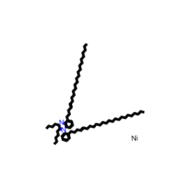 CCCCCCCCCCCCCCCCCCCC=CCCCc1ccccc1N=C(CCCC)C(CCCCC)=Nc1ccccc1CCCC=CCCCCCCCCCCCCCCCCCCC.[Ni]